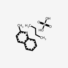 CCCC.Cc1ccc2ccccc2n1.O=S(=O)(O)O